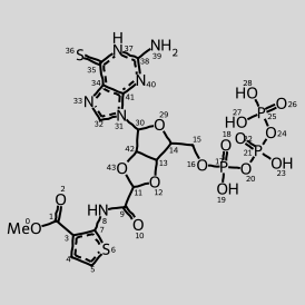 COC(=O)c1ccsc1NC(=O)C1OC2C(COP(=O)(O)OP(=O)(O)OP(=O)(O)O)OC(n3cnc4c(=S)[nH]c(N)nc43)C2O1